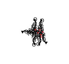 FC(F)(COCC1CC1)C(F)(F)OC(F)(F)C(C(F)(F)OC(F)(F)C(F)(F)COCC1CO1)(C(F)(F)OC(F)(F)C(F)(F)COCC1CO1)C(F)(F)OC(F)(F)C(C(F)(F)OC(F)(F)C(F)(F)COCC1CC1)(C(F)(F)OC(F)(F)C(F)(F)COCC1CO1)C(F)(F)OC(F)(F)C(F)(F)COCC1CO1